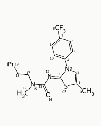 Cc1cn(-c2ccc(C(F)(F)F)cc2)/c(=N/C(=O)N(C)CCC(C)C)s1